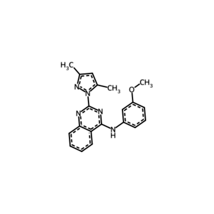 COc1cccc(Nc2nc(-n3nc(C)cc3C)nc3ccccc23)c1